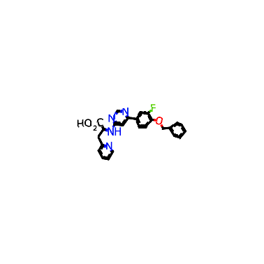 O=C(O)C(Cc1ccccn1)Nc1cc(-c2ccc(OCc3ccccc3)c(F)c2)ncn1